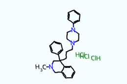 CN1Cc2ccccc2C(CCCN2CCN(c3ccccc3)CC2)(c2ccccc2)C1.Cl.Cl.Cl